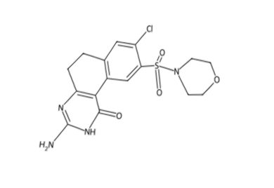 Nc1nc2c(c(=O)[nH]1)-c1cc(S(=O)(=O)N3CCOCC3)c(Cl)cc1CC2